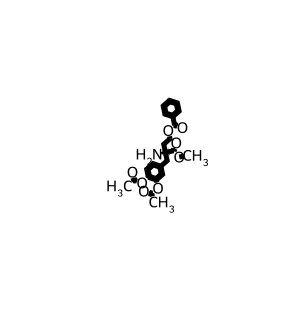 COC(=O)[C@@](N)(CCOC(=O)c1ccccc1)Cc1ccc(OC(C)=O)c(OC(C)=O)c1